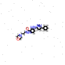 O=C(NCCCN1CCOCC1)c1cccc(Nc2ccc(-c3ccccc3)nn2)c1